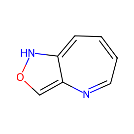 C1=CC=C2NOC=C2N=C1